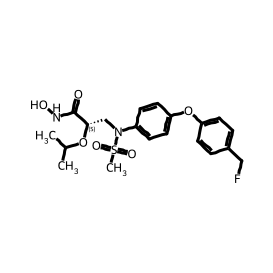 CC(C)O[C@@H](CN(c1ccc(Oc2ccc(CF)cc2)cc1)S(C)(=O)=O)C(=O)NO